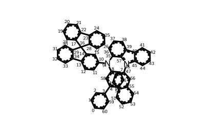 c1ccc(-c2cccc(N(c3ccc4c(c3)C3(c5ccccc5-c5ccccc53)c3ccccc3-4)c3cccc4c5ccccc5n(-c5ccc6ccccc6c5)c34)c2)cc1